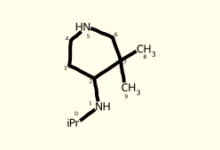 CC(C)NC1CCNCC1(C)C